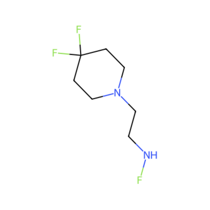 FNCCN1CCC(F)(F)CC1